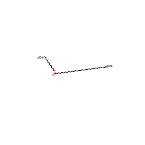 CCCCCCCCCCCCCCCCCCCCCCCCCCCCCCCCCCCCCCCC(=O)OCCCCCCCCCCCCCCCCCCCC